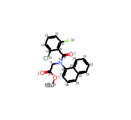 CC(C)(C)OC(=O)CN(C(=O)c1c(F)cccc1Cl)c1cccc2ccccc12